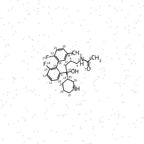 CC(=O)NCCCC(O)(c1cccc(F)c1-c1cc(C)ccc1F)[C@@H]1CCCNC1